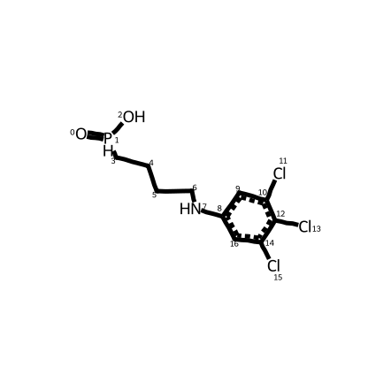 O=[PH](O)CCCCNc1cc(Cl)c(Cl)c(Cl)c1